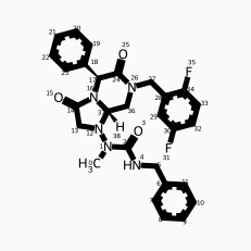 CN(C(=O)NCc1ccccc1)N1CC(=O)N2[C@@H](c3ccccc3)C(=O)N(Cc3cc(F)ccc3F)C[C@@H]21